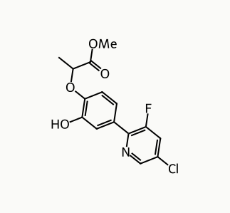 COC(=O)C(C)Oc1ccc(-c2ncc(Cl)cc2F)cc1O